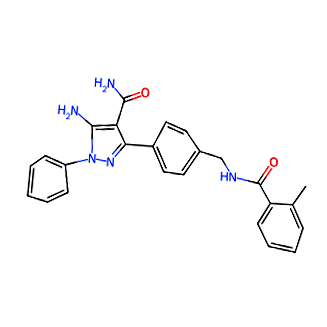 Cc1ccccc1C(=O)NCc1ccc(-c2nn(-c3ccccc3)c(N)c2C(N)=O)cc1